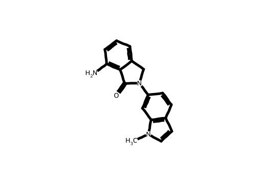 Cn1ccc2ccc(N3Cc4cccc(N)c4C3=O)cc21